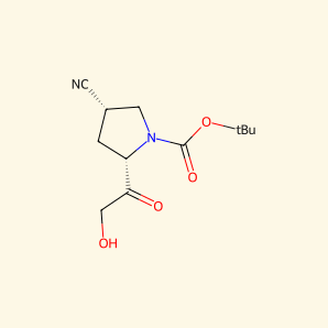 CC(C)(C)OC(=O)N1C[C@@H](C#N)C[C@H]1C(=O)CO